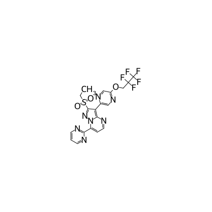 CCS(=O)(=O)c1nn2c(-c3ncccn3)ccnc2c1-c1cnc(OCC(F)(F)C(F)(F)F)cn1